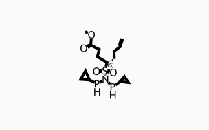 C=CCC[C@@H](CCC(=O)OC)S(=O)(=O)N(PC1CC1)PC1CC1